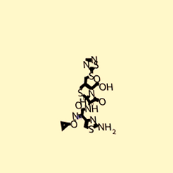 Nc1nc(/C(=N\OC2CC2)C(=O)N[C@@H]2C(=O)N3C(C(=O)O)=C(CSc4ncns4)CS[C@H]23)cs1